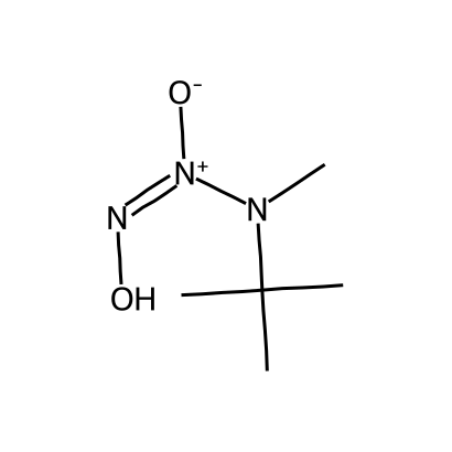 CN(/[N+]([O-])=N\O)C(C)(C)C